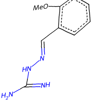 COc1ccccc1/C=N/NC(=N)N